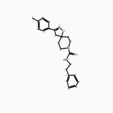 Cc1ccc(C2=NOC3(CCN(C(=O)NCCc4ccccc4)CC3)C2)cc1